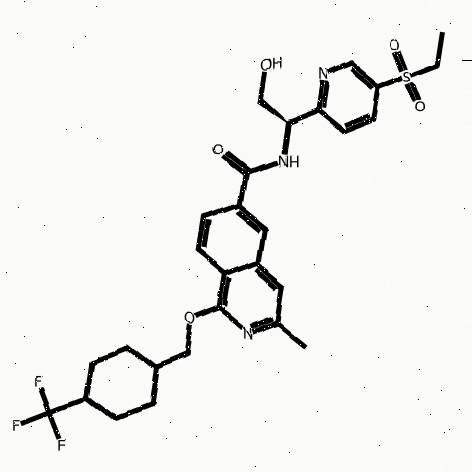 CCS(=O)(=O)c1ccc([C@H](CO)NC(=O)c2ccc3c(OCC4CCC(C(F)(F)F)CC4)nc(C)cc3c2)nc1